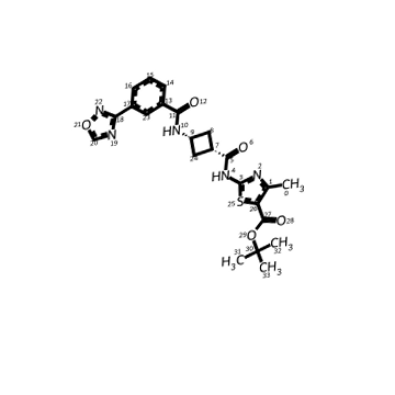 Cc1nc(NC(=O)[C@H]2C[C@@H](NC(=O)c3cccc(-c4ncon4)c3)C2)sc1C(=O)OC(C)(C)C